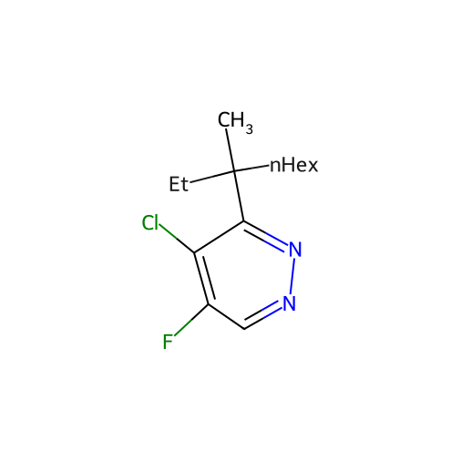 CCCCCCC(C)(CC)c1nncc(F)c1Cl